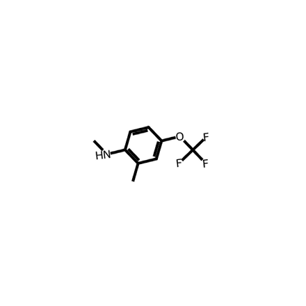 CNc1ccc(OC(F)(F)F)cc1C